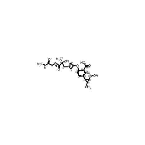 CNC(=O)CNC(=O)[C@@](C)(N)CN1CC(Oc2ccc3c(c2C(=O)O)OB(O)C2C(C)C32)C1